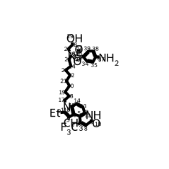 CCc1c(C)c2c3c(C(F)(F)F)cc(=O)[nH]c3ccc2n1CCCCCCCCCN(CCO)S(=O)(=O)c1ccc(N)cc1